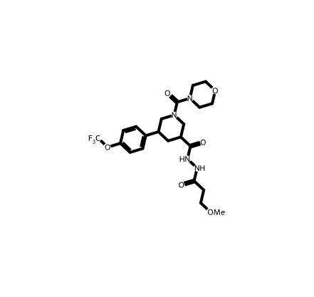 COCCC(=O)NNC(=O)C1CC(c2ccc(OC(F)(F)F)cc2)CN(C(=O)N2CCOCC2)C1